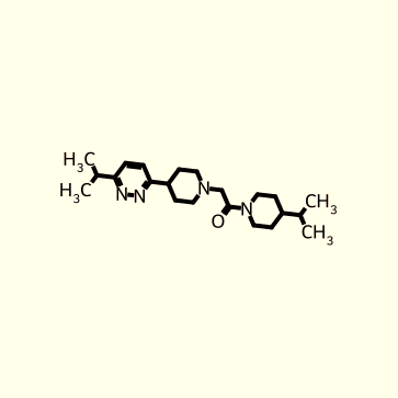 CC(C)c1ccc(C2CCN(CC(=O)N3CCC(C(C)C)CC3)CC2)nn1